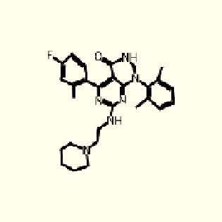 Cc1cc(F)ccc1-c1nc(NCCN2CCCCC2)nc2c1C(=O)NCN2c1c(C)cccc1C